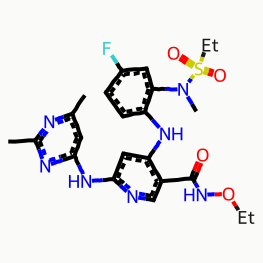 CCONC(=O)c1cnc(Nc2cc(C)nc(C)n2)cc1Nc1ccc(F)cc1N(C)S(=O)(=O)CC